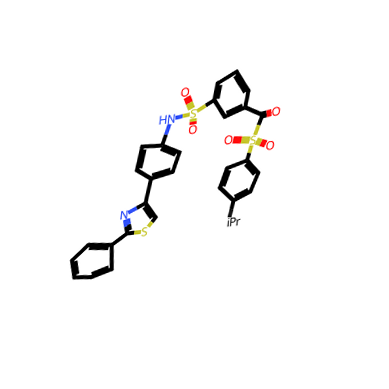 CC(C)c1ccc(S(=O)(=O)C(=O)c2cccc(S(=O)(=O)Nc3ccc(-c4csc(-c5ccccc5)n4)cc3)c2)cc1